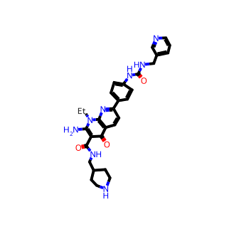 CCn1c(N)c(C(=O)NCC2CCNCC2)c(=O)c2ccc(-c3ccc(NC(=O)NCc4cccnc4)cc3)nc21